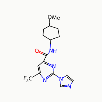 COC1CCC(NC(=O)c2cc(C(F)(F)F)nc(-n3ccnc3)n2)CC1